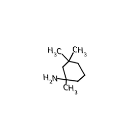 CC1(C)CCCC(C)(N)C1